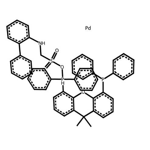 CC1(C)c2cccc(P(c3ccccc3)c3ccccc3)c2Oc2c1cccc2[PH](OS(=O)(=O)CNc1ccccc1-c1ccccc1)(c1ccccc1)c1ccccc1.[Pd]